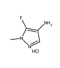 Cl.Cn1ncc(N)c1F